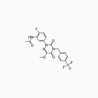 COc1nn(-c2ccc(F)c(NC(C)=O)c2)c(=O)n(Cc2ccc(C(F)(F)F)cc2)c1=O